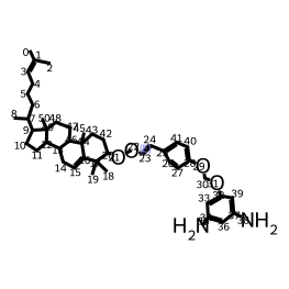 CC(C)=CCCCC(C)C1CCC2C3CC=C4C(C)(C)C(OO/C=C/c5ccc(OCOc6cc(N)cc(N)c6)cc5)CCC4(C)C3CCC12C